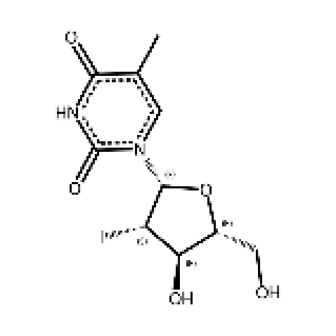 Cc1cn([C@@H]2O[C@H](CO)[C@@H](O)[C@@H]2I)c(=O)[nH]c1=O